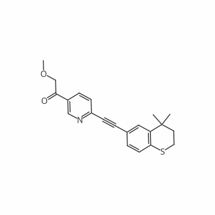 COCC(=O)c1ccc(C#Cc2ccc3c(c2)C(C)(C)CCS3)nc1